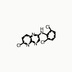 Clc1ccc2nc(Nc3c(Cl)cccc3Cl)cnc2n1